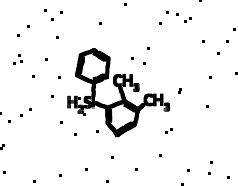 Cc1cccc([SiH2]c2ccccc2)c1C